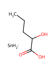 CCCC(O)C(=O)O.[SnH2]